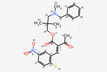 CC(=O)/C(=C/c1cc([N+](=O)[O-])ccc1F)C(=O)OCC(C)(C)CN(C)Cc1ccccc1